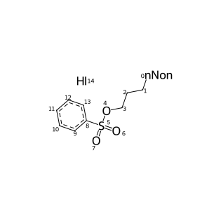 CCCCCCCCCCCCOS(=O)(=O)c1ccccc1.I